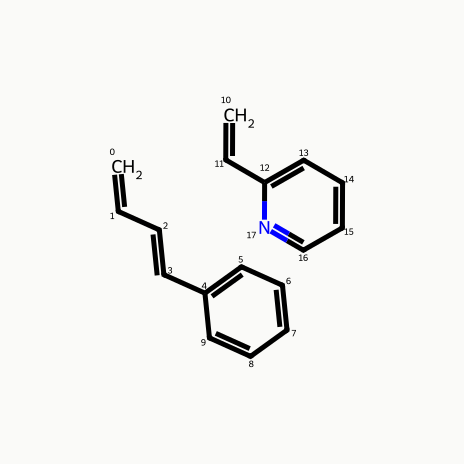 C=CC=Cc1ccccc1.C=Cc1ccccn1